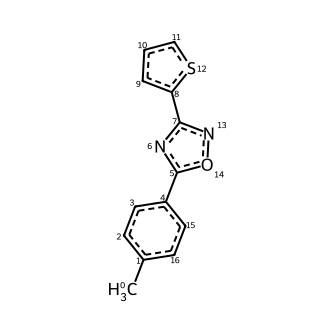 Cc1ccc(-c2nc(-c3cccs3)no2)cc1